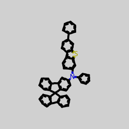 c1ccc(-c2ccc3c(c2)sc2cc(N(c4ccccc4)c4ccc5c(c4)-c4ccccc4C54c5ccccc5-c5ccccc54)ccc23)cc1